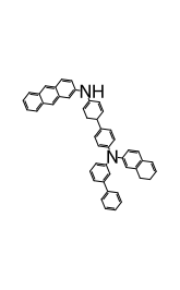 C1=Cc2ccc(N(c3ccc(C4C=CC(Nc5ccc6cc7ccccc7cc6c5)=CC4)cc3)c3cccc(-c4ccccc4)c3)cc2CC1